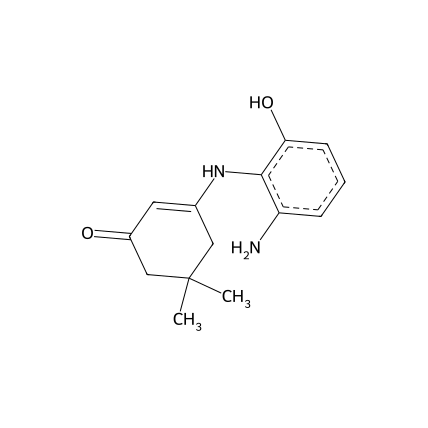 CC1(C)CC(=O)C=C(Nc2c(N)cccc2O)C1